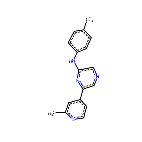 Cc1cc(-c2cncc(Nc3ccc(C(F)(F)F)cc3)n2)ccn1